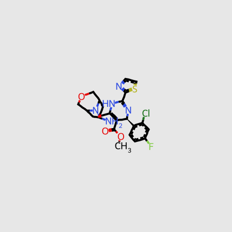 COC(=O)C1=C(CN2C3COCC2CC(N)C3)NC(c2nccs2)=N[C@H]1c1ccc(F)cc1Cl